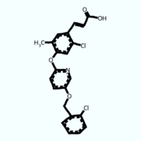 Cc1cc(C=CC(=O)O)c(Cl)cc1Oc1ccc(OCc2ccccc2Cl)cn1